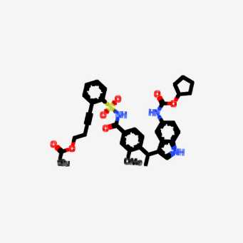 COc1cc(C(=O)NS(=O)(=O)c2ccccc2C#CCCOC(=O)C(C)(C)C)ccc1C(C)c1c[nH]c2ccc(NC(=O)OC3CCCC3)cc12